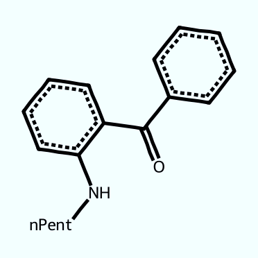 CCCCCNc1ccccc1C(=O)c1ccccc1